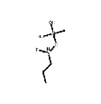 CCC[SiH](F)O[Si](C)(O)O